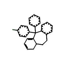 Brc1ccc(C2(c3ccccc3)C3=CC=CCC3CCc3ccccc32)cc1